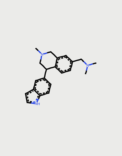 CN(C)Cc1ccc2c(c1)CN(C)CC2c1ccc2[nH]ccc2c1